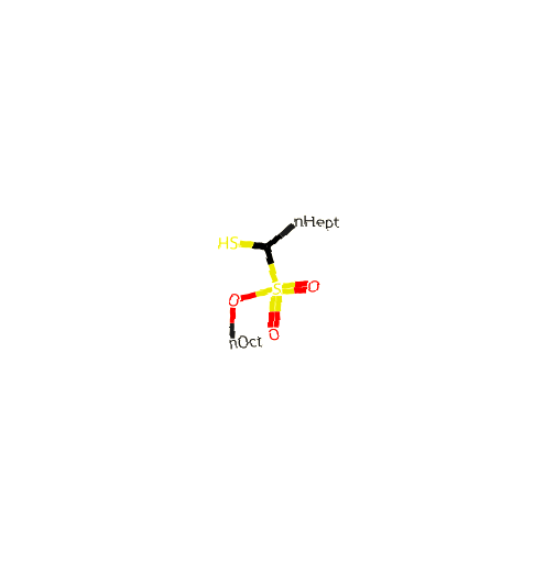 CCCCCCCCOS(=O)(=O)C(S)CCCCCCC